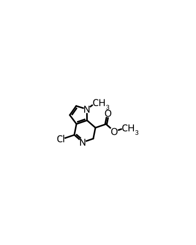 COC(=O)C1CN=C(Cl)c2ccn(C)c21